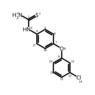 NC(=S)Nc1ccc(Oc2cccc(Cl)c2)cc1